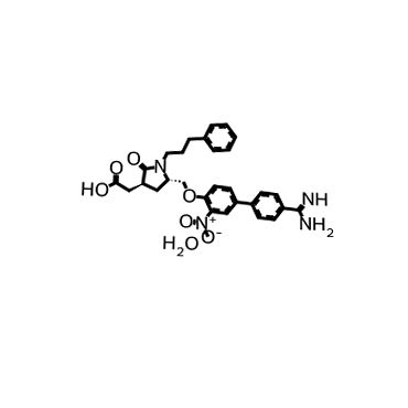 N=C(N)c1ccc(-c2ccc(OC[C@@H]3C[C@@H](CC(=O)O)C(=O)N3CCCc3ccccc3)c([N+](=O)[O-])c2)cc1.O